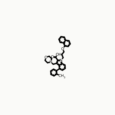 Cc1ccccc1-c1cccc2c1c(CN1CCOCC1)c(C(=O)O)n2CCCOc1cccc2ccccc12